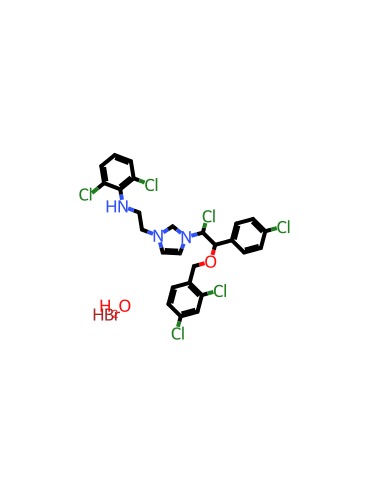 Br.Clc1ccc(C(OCc2ccc(Cl)cc2Cl)C(Cl)N2C=CN(CCNc3c(Cl)cccc3Cl)C2)cc1.O